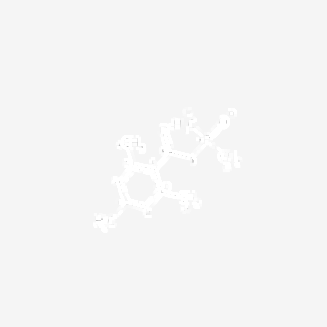 Cc1cc(C)c(C(=O)CP(C)(C)=O)c(C)c1